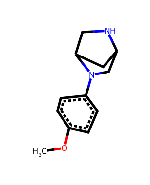 COc1ccc(N2CC3CC2CN3)cc1